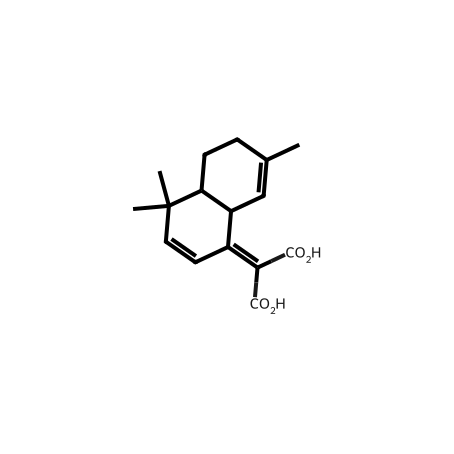 CC1=CC2C(=C(C(=O)O)C(=O)O)C=CC(C)(C)C2CC1